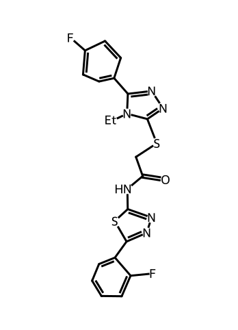 CCn1c(SCC(=O)Nc2nnc(-c3ccccc3F)s2)nnc1-c1ccc(F)cc1